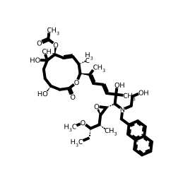 CC[C@H](OC)[C@@H](C)[C@H]1O[C@@H]1C(N(CCO)Cc1ccc2ccccc2c1)C(C)(O)/C=C/C=C(\C)[C@H]1OC(=O)C[C@H](O)CCC(C)(O)[C@@H](OC(C)=O)/C=C/[C@@H]1C